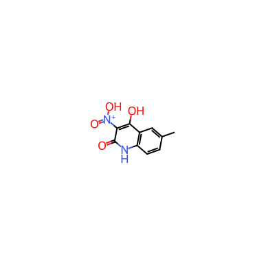 Cc1ccc2[nH]c(=O)c([N+](=O)O)c(O)c2c1